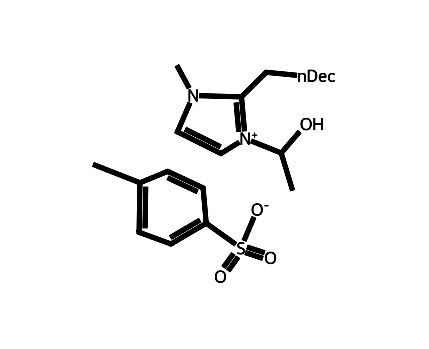 CCCCCCCCCCCc1n(C)cc[n+]1C(C)O.Cc1ccc(S(=O)(=O)[O-])cc1